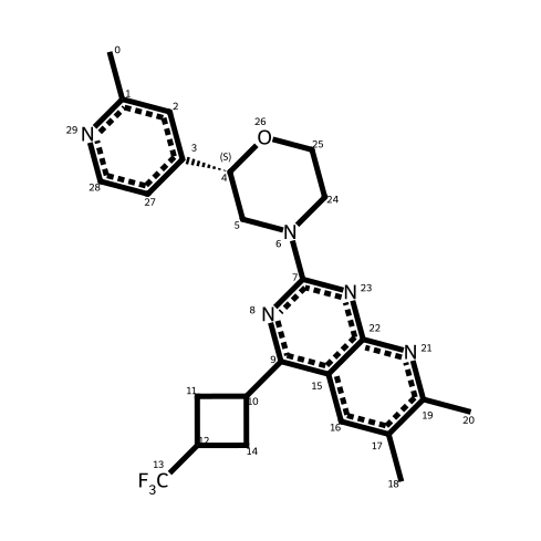 Cc1cc([C@H]2CN(c3nc(C4CC(C(F)(F)F)C4)c4cc(C)c(C)nc4n3)CCO2)ccn1